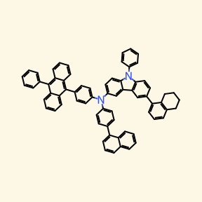 c1ccc(-c2c3ccccc3c(-c3ccc(N(c4ccc(-c5cccc6ccccc56)cc4)c4ccc5c(c4)c4cc(-c6cccc7c6CCCC7)ccc4n5-c4ccccc4)cc3)c3ccccc23)cc1